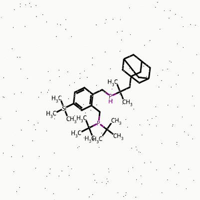 CC(C)(CC12CC3CC(CC(C3)C1)C2)PCc1ccc([Si](C)(C)C)cc1CP(C(C)(C)C)C(C)(C)C